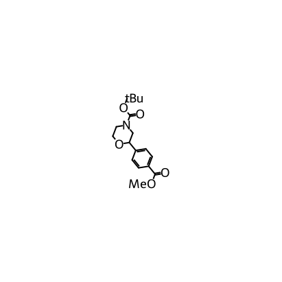 COC(=O)c1ccc(C2CN(C(=O)OC(C)(C)C)CCO2)cc1